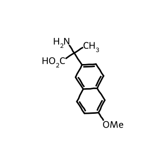 COc1ccc2cc(C(C)(N)C(=O)O)ccc2c1